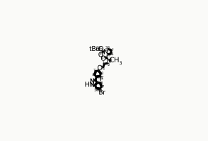 CN(CCCOc1ccc(-c2n[nH]c3cc(Br)ccc23)c(F)c1)C(=O)[C@H]1CCCN1C(=O)OC(C)(C)C